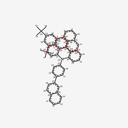 CC(C)(C)c1cc(-c2cccc3cccc(-c4ccccc4N(c4ccc(-c5ccc6ccccc6c5)cc4)c4ccccc4-c4ccccc4)c23)cc(C(C)(C)C)c1